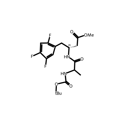 COC(=O)C[C@@H](Cc1cc(F)c(F)cc1F)NC(=O)C(C)NC(=O)OC(C)(C)C